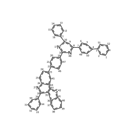 c1ccc(-c2ccc(-c3cc(-c4ccccc4)nc(-c4ccc(-c5ccc6nc(-c7ccccc7)c7c8ccccc8sc7c6c5)cc4)n3)cc2)cc1